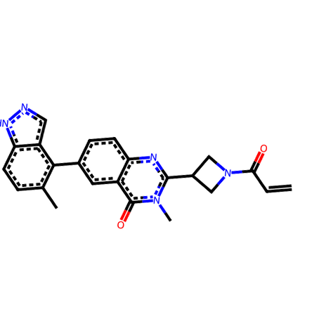 C=CC(=O)N1CC(c2nc3ccc(-c4c(C)ccc5[nH]ncc45)cc3c(=O)n2C)C1